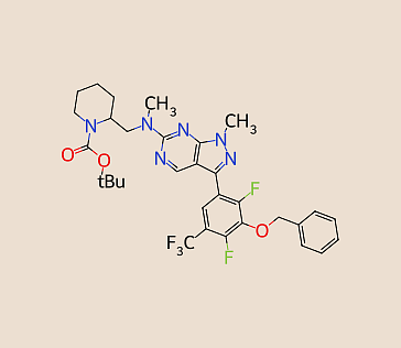 CN(CC1CCCCN1C(=O)OC(C)(C)C)c1ncc2c(-c3cc(C(F)(F)F)c(F)c(OCc4ccccc4)c3F)nn(C)c2n1